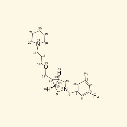 Fc1cc(F)cc(CN2C[C@@H]3C(COCCCN4CCCCC4)[C@@H]3C2)c1